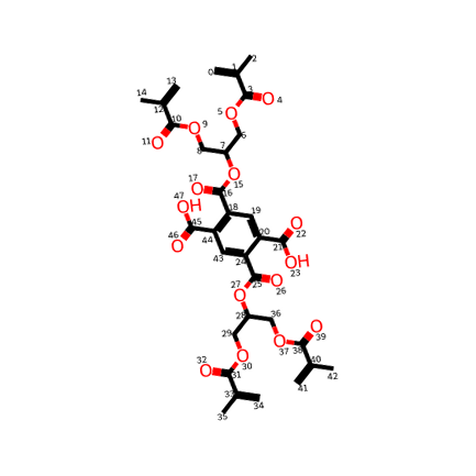 C=C(C)C(=O)OCC(COC(=O)C(=C)C)OC(=O)c1cc(C(=O)O)c(C(=O)OC(COC(=O)C(=C)C)COC(=O)C(=C)C)cc1C(=O)O